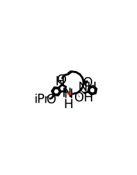 CC(C)Oc1ccc2c(c1)[C@@H]1C[C@H]2OC/C=C/CCCC(=O)N[C@@H](Cc2ccccc2)[C@H](O)CN1